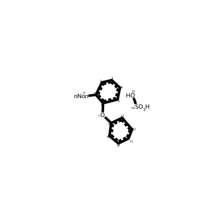 CCCCCCCCCc1ccccc1Oc1ccccc1.O=S(=O)(O)O